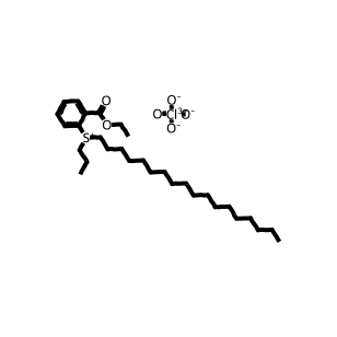 CCCCCCCCCCCCCCCCCC[S+](CCC)c1ccccc1C(=O)OCC.[O-][Cl+3]([O-])([O-])[O-]